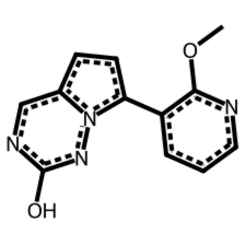 COc1ncccc1-c1ccc2cnc(O)nn12